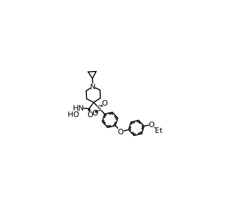 CCOc1ccc(Oc2ccc(S(=O)(=O)C3(C(=O)NO)CCN(C4CC4)CC3)cc2)cc1